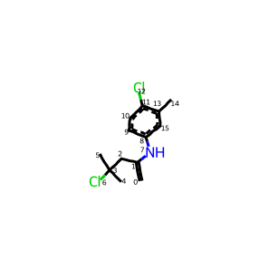 C=C(CC(C)(C)Cl)Nc1ccc(Cl)c(C)c1